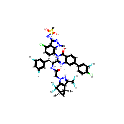 Cn1nc(NS(C)(=O)=O)c2c(Cl)ccc(-n3c([C@H](Cc4cc(F)cc(F)c4)NC(=O)Cn4nc(C(F)F)c5c4C(F)(F)[C@@H]4C[C@@H]54)nc4cc(-c5ccc(Cl)c(F)c5)ccc4c3=O)c21